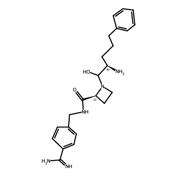 N=C(N)c1ccc(CNC(=O)[C@@H]2CCN2C(O)[C@H](N)CCCc2ccccc2)cc1